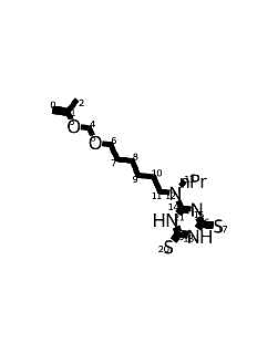 C=C(C)OCOCCCCCCN(CCC)c1nc(=S)[nH]c(=S)[nH]1